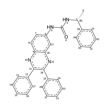 C[C@@H](NC(=O)Nc1ccc2nc(-c3ccccc3)c(-c3ccccc3)nc2c1)c1ccccc1